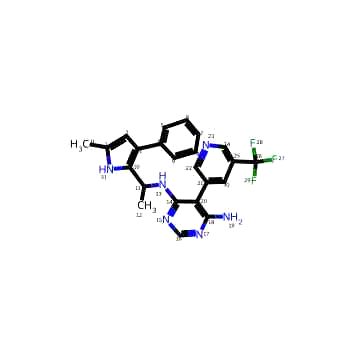 Cc1cc(-c2ccccc2)c(C(C)Nc2ncnc(N)c2-c2cncc(C(F)(F)F)c2)[nH]1